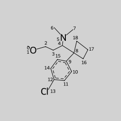 COCCC(N(C)C)C1(c2ccc(Cl)cc2)CCC1